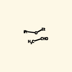 CC=O.CCOC(C)C